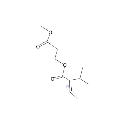 C/C=C(/C(=O)OCCC(=O)OC)C(C)C